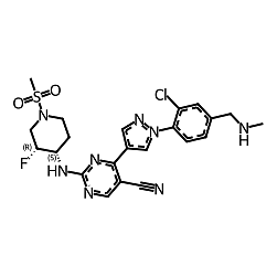 CNCc1ccc(-n2cc(-c3nc(N[C@H]4CCN(S(C)(=O)=O)C[C@H]4F)ncc3C#N)cn2)c(Cl)c1